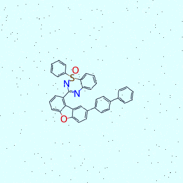 O=S1(c2ccccc2)=NC(c2cccc3oc4ccc(-c5ccc(-c6ccccc6)cc5)cc4c23)=Nc2ccccc21